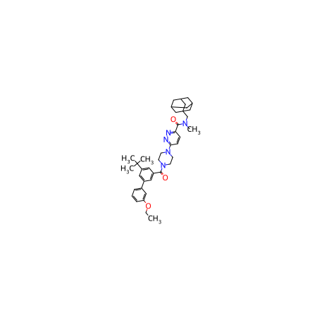 CCOc1cccc(-c2cc(C(=O)N3CCN(c4ccc(C(=O)N(C)CC56CC7CC(CC(C7)C5)C6)nn4)CC3)cc(C(C)(C)C)c2)c1